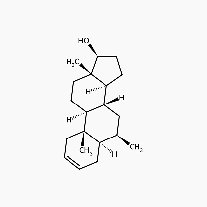 C[C@@H]1C[C@@H]2[C@H](CC[C@]3(C)[C@@H](O)CC[C@@H]23)[C@@]2(C)CC=CC[C@H]12